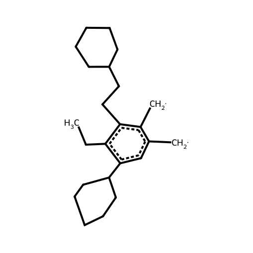 [CH2]c1cc(C2CCCCC2)c(CC)c(CCC2CCCCC2)c1[CH2]